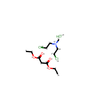 CCOC(=O)CC(=O)OCC.CN(CCCl)CCCl.Cl